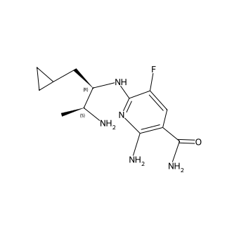 C[C@H](N)[C@@H](CC1CC1)Nc1nc(N)c(C(N)=O)cc1F